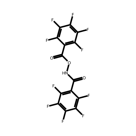 O=C(NOC(=O)c1c(F)c(F)c(F)c(F)c1F)c1c(F)c(F)c(F)c(F)c1F